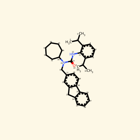 CC(C)c1cccc(C(C)C)c1NC(=O)N(Cc1ccc2c(c1)Cc1ccccc1-2)C1CCCCCC1